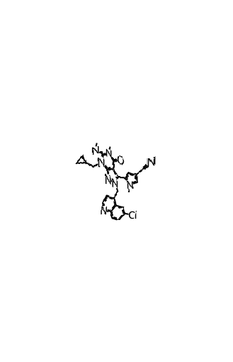 CN=c1n(C)c(=O)c2c(-c3cc(C#N)cn3C)n(Cc3ccnc4ccc(Cl)cc34)nc2n1CC1CC1